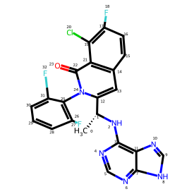 C[C@@H](Nc1ncnc2[nH]cnc12)c1cc2ccc(F)c(Cl)c2c(=O)n1-c1c(F)cccc1F